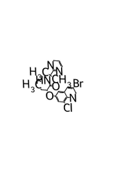 CCC(Oc1cc(Cl)c2ncc(Br)cc2c1)C(=O)NC(C)(C)c1ncccn1